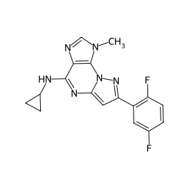 Cn1cnc2c(NC3CC3)nc3cc(-c4cc(F)ccc4F)nn3c21